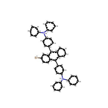 Brc1ccc2c(-c3ccc(N(c4ccccc4)c4ccccc4)cc3)c3ccccc3c(-c3ccc(N(c4ccccc4)c4ccccc4)cc3)c2c1